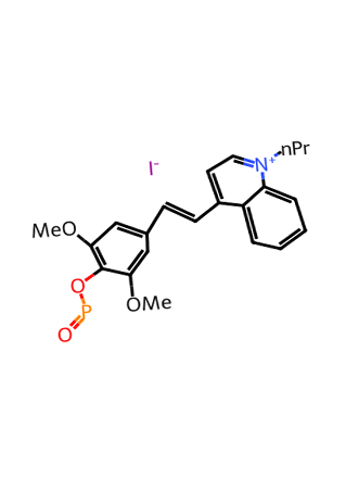 CCC[n+]1ccc(C=Cc2cc(OC)c(OP=O)c(OC)c2)c2ccccc21.[I-]